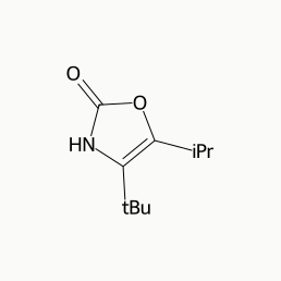 CC(C)c1oc(=O)[nH]c1C(C)(C)C